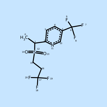 CC(c1ccc(C(F)(F)F)cn1)S(=O)(=O)CCC(F)(F)F